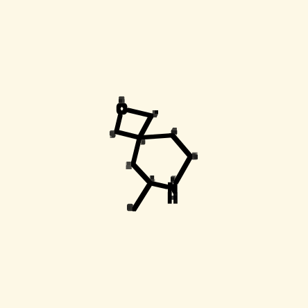 CC1CC2(CCN1)COC2